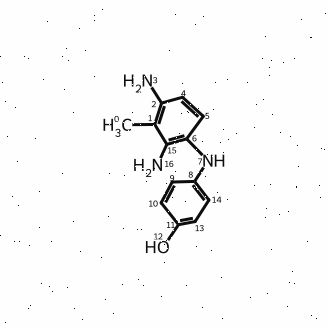 Cc1c(N)ccc(Nc2ccc(O)cc2)c1N